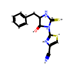 N#Cc1csc(N2C(=O)C(Cc3ccccc3)NC2=S)n1